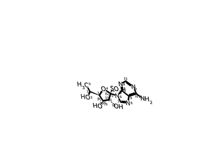 CC(O)[C@H]1O[C@](n2cnc3c(N)ncnc32)(S(=O)(=O)O)[C@H](O)[C@@H]1O